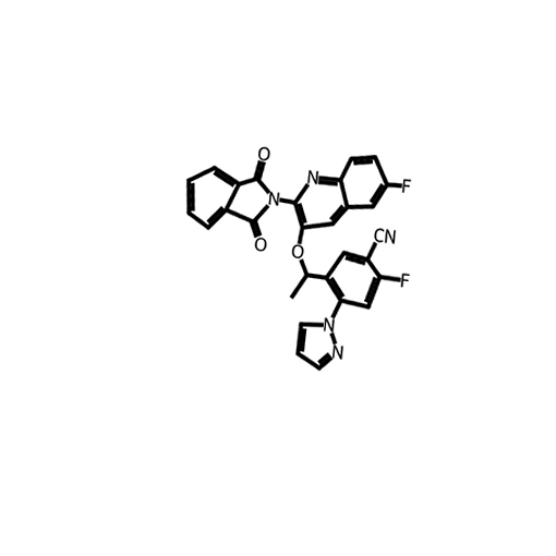 CC(Oc1cc2cc(F)ccc2nc1N1C(=O)c2ccccc2C1=O)c1cc(C#N)c(F)cc1-n1cccn1